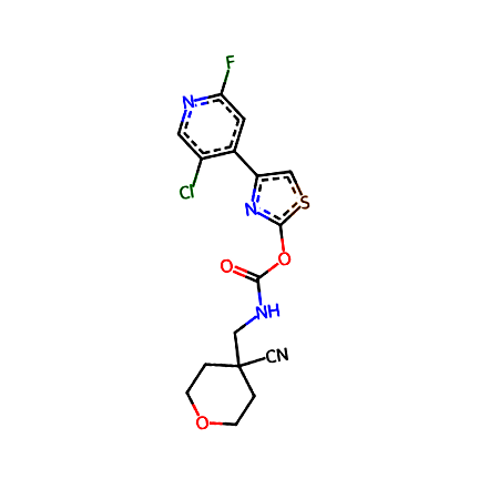 N#CC1(CNC(=O)Oc2nc(-c3cc(F)ncc3Cl)cs2)CCOCC1